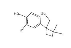 CC(C)(C)CC1(c2ccc(O)c(F)c2)CCC1(C)C